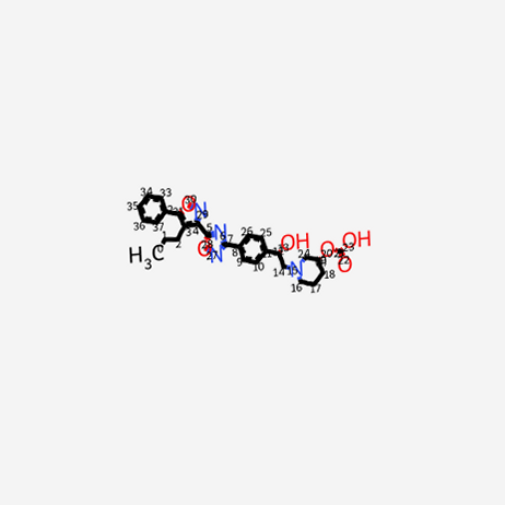 CCCc1c(-c2nc(-c3ccc(C(O)CN4CCC[C@H](OC(=O)O)C4)cc3)no2)noc1-c1ccccc1